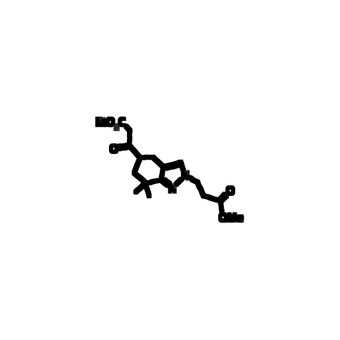 CCOC(=O)CC(=O)C1Cc2cn(CCC(=O)OC)nc2C(C)(C)C1